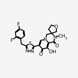 CN1C(=O)c2c(O)c(=O)c(-c3nnc(Cc4ccc(F)cc4F)s3)cn2CC12CCOC2